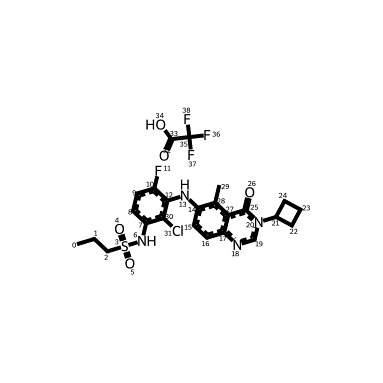 CCCS(=O)(=O)Nc1ccc(F)c(Nc2ccc3ncn(C4CCC4)c(=O)c3c2C)c1Cl.O=C(O)C(F)(F)F